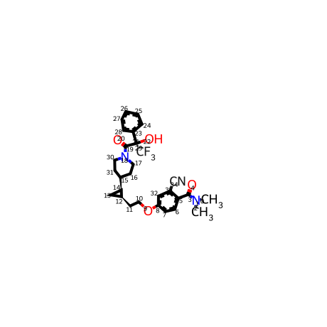 CN(C)C(=O)c1ccc(OCC[C@H]2C[C@H]2C2CCN(C(=O)[C@](O)(c3ccccc3)C(F)(F)F)CC2)cc1C#N